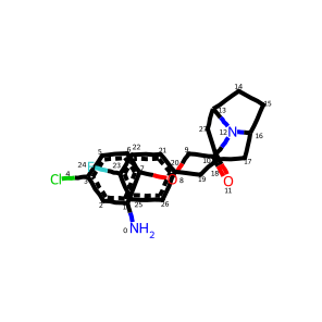 Nc1cc(Cl)ccc1OCC(=O)N1C2CCC1CC(Cc1ccc(F)cc1)C2